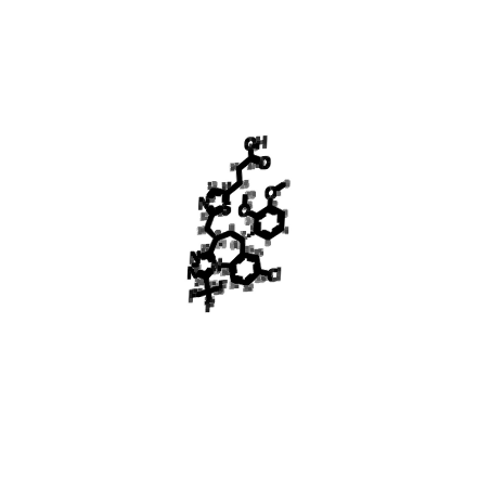 COc1cccc([C@H]2C[C@H](Cc3ncc(CCC(=O)O)s3)c3nnc(C(F)(F)F)n3-c3ccc(Cl)cc32)c1OC